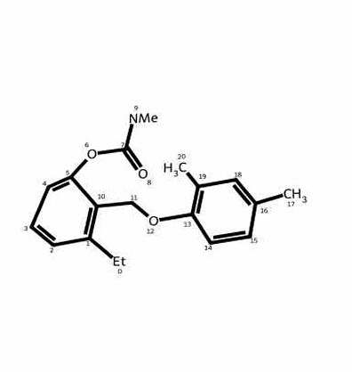 CCc1cccc(OC(=O)NC)c1COc1ccc(C)cc1C